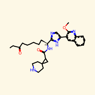 CCC(=O)CCCCC[C@H](NC(=O)C1CC12CCNCC2)c1ncc(-c2cc3ccccc3nc2OC)[nH]1